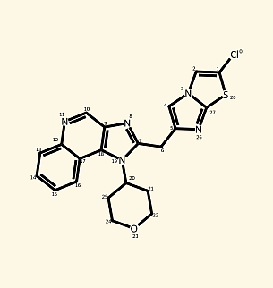 Clc1cn2cc(Cc3nc4cnc5ccccc5c4n3C3CCOCC3)nc2s1